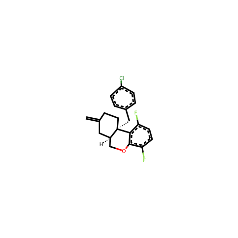 C=C1CC[C@@]2(Cc3ccc(Cl)cc3)c3c(F)ccc(F)c3OC[C@H]2C1